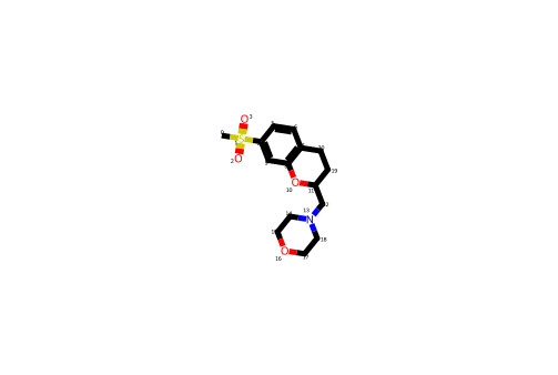 CS(=O)(=O)c1ccc2c(c1)OC(CN1CCOCC1)CC2